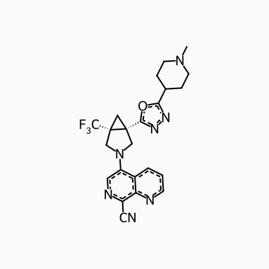 CN1CCC(c2nnc([C@]34CN(c5cnc(C#N)c6ncccc56)C[C@@]3(C(F)(F)F)C4)o2)CC1